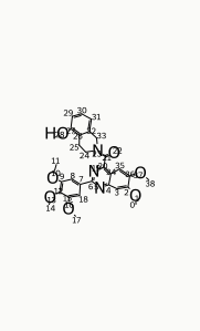 COc1cc2nc(-c3cc(OC)c(OC)c(OC)c3)nc(C(=O)N3CCc4c(O)cccc4C3)c2cc1OC